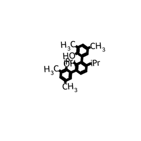 Cc1cc(C)c(O)c(-c2ccc(C(C)C)c(-c3cc(C)cc(C)c3O)c2C(C)C)c1